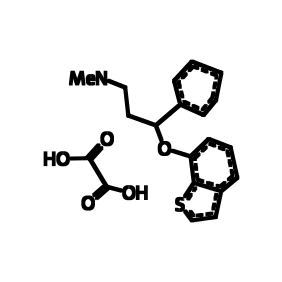 CNCCC(Oc1cccc2ccsc12)c1ccccc1.O=C(O)C(=O)O